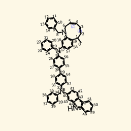 CC1/C=C\C=C/CN(Cc2ccccc2)c2cc(N(c3ccccc3)c3ccc(-c4ccc(N(c5ccccc5)c5ccc6c(c5)[nH]c5ccccc56)cc4)cc3)ccc21